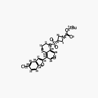 CC(C)(C)OC(=O)N1CC(S(=O)(=O)N2CCSc3c(-c4cc5cc(Cl)ccc5o4)cncc32)C1